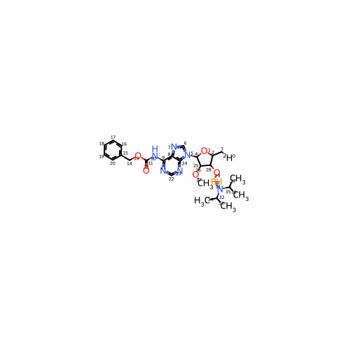 [2H]CC1OC(n2cnc3c(NC(=O)OCc4ccccc4)ncnc32)C(OC)C1OPN(C(C)C)C(C)C